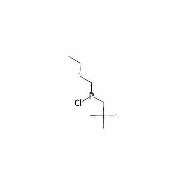 CCCCP(Cl)CC(C)(C)C